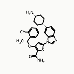 C[C@@H](Oc1cc(-n2cnc3ccc([C@H]4CC[C@@H](N)CC4)cc32)sc1C(N)=O)c1ccccc1Cl